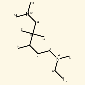 CC(CCN(C)CI)C(C)(C)CN(C)C